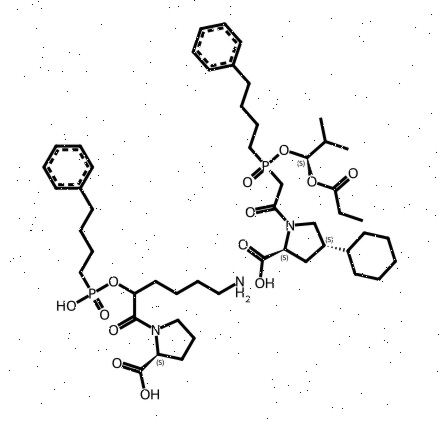 CCC(=O)O[C@@H](OP(=O)(CCCCc1ccccc1)CC(=O)N1C[C@H](C2CCCCC2)C[C@H]1C(=O)O)C(C)C.NCCCCC(OP(=O)(O)CCCCc1ccccc1)C(=O)N1CCC[C@H]1C(=O)O